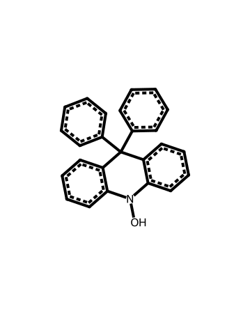 ON1c2ccccc2C(c2ccccc2)(c2ccccc2)c2ccccc21